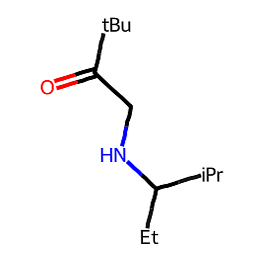 CCC(NCC(=O)C(C)(C)C)C(C)C